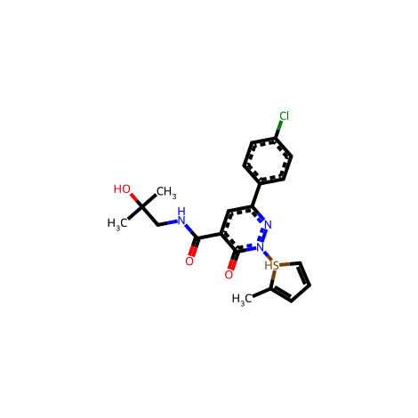 CC1=CC=C[SH]1n1nc(-c2ccc(Cl)cc2)cc(C(=O)NCC(C)(C)O)c1=O